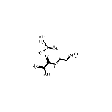 C=C(C)C(=O)NCCN.CN(C)C.Cl.Cl